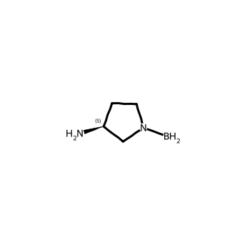 BN1CC[C@H](N)C1